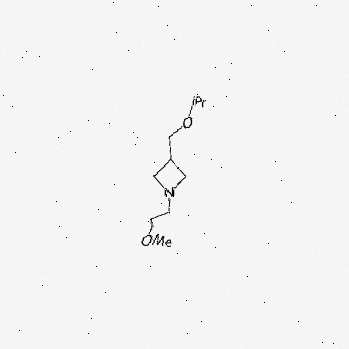 COCCN1CC(COC(C)C)C1